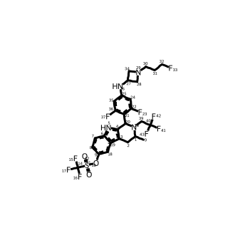 CC1Cc2c([nH]c3ccc(OS(=O)(=O)C(F)(F)F)cc23)C(c2c(F)cc(NC3CN(CCCF)C3)cc2F)N1CC(F)(F)F